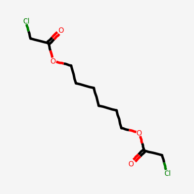 O=C(CCl)OCCCCCCOC(=O)CCl